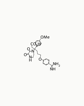 COc1ccc(C(CCCOc2ccc(C(=N)N)cc2)(CC(=O)O)N2CCNC(=O)C2=O)cc1